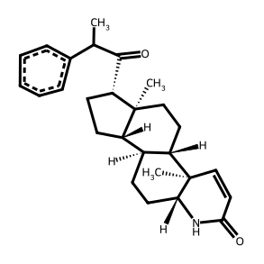 CC(C(=O)[C@H]1CC[C@H]2[C@@H]3CC[C@H]4NC(=O)C=C[C@]4(C)[C@H]3CC[C@]12C)c1ccccc1